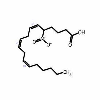 CCCCC/C=C\C/C=C\C/C=C\C(CCCC(=O)O)[N+](=O)[O-]